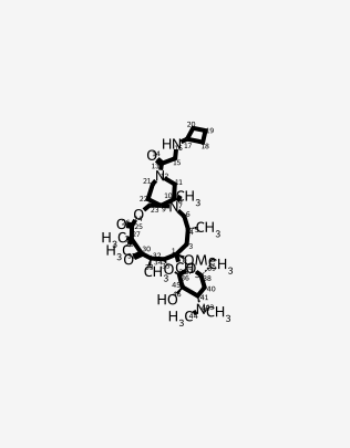 CO[C@]1(C)C[C@@H](C)CN(C)C2(CCN(C(=O)CNC3CCC3)CC2)COC(=O)C(C)(C)C(=O)[C@H](C)[C@H]1O[C@@H]1O[C@H](C)C[C@H](N(C)C)[C@H]1O